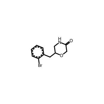 O=C1COC(Cc2ccccc2Br)CN1